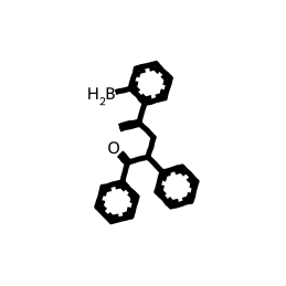 Bc1ccccc1C(=C)CC(C(=O)c1ccccc1)c1ccccc1